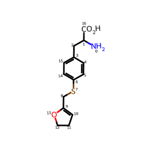 NC(Cc1ccc(SCC2=CCCO2)cc1)C(=O)O